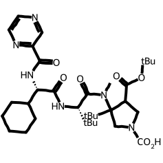 CN(C(=O)[C@@H](NC(=O)[C@@H](NC(=O)c1cnccn1)C1CCCCC1)C(C)(C)C)C1(C(C)(C)C)CN(C(=O)O)CC1C(=O)OC(C)(C)C